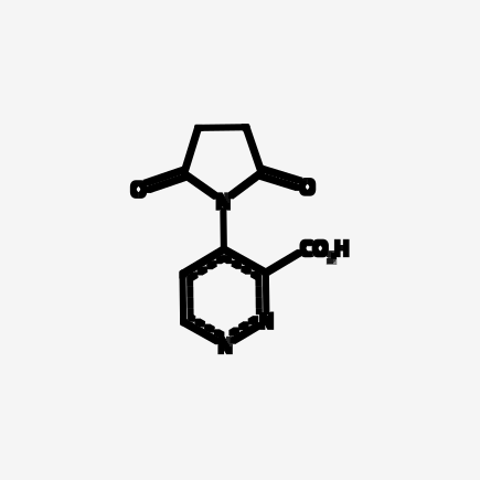 O=C(O)c1nnccc1N1C(=O)CCC1=O